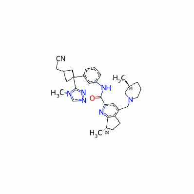 C[C@H]1CCCN(Cc2cc(C(=O)Nc3cccc(C4(c5nncn5C)CC(CC#N)C4)c3)nc3c2CC[C@@H]3C)C1